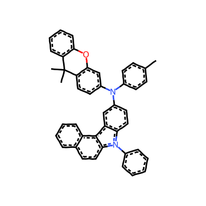 Cc1ccc(N(c2ccc3c(c2)Oc2ccccc2C3(C)C)c2ccc3c(c2)c2c4ccccc4ccc2n3-c2ccccc2)cc1